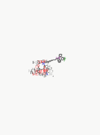 CC[C@H]1OC(=O)[C@H](C)[C@@H](C2C[C@@](C)(OC)[C@@H](O)[C@H](C)O2)C[C@@H](O[C@@H]2O[C@H](C)C[C@H](N(C)C)[C@H]2O)[C@](C)(O)C[C@@H](C)CN(C(=O)CCCCCCCCCCCC[PH](c2ccccc2)(c2ccccc2)C2CCC(F)(F)CC2)[C@H](C)C[C@]1(C)O